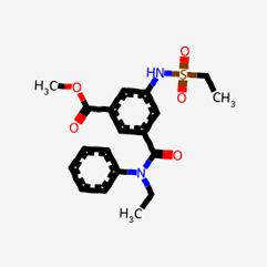 CCN(C(=O)c1cc(NS(=O)(=O)CC)cc(C(=O)OC)c1)c1ccccc1